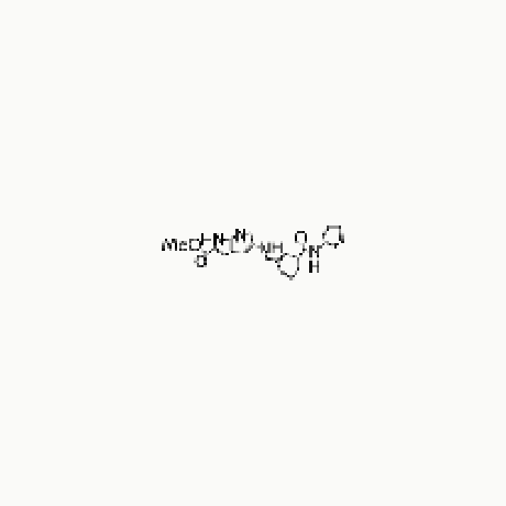 COC(=O)c1cc2cc(NCc3cccc(C(=O)Nc4ccccc4)c3)cnc2[nH]1